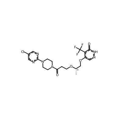 C[C@@H](COc1cn[nH]c(=O)c1C(F)(F)F)OCCC(=O)N1CCN(c2ncc(Cl)cn2)CC1